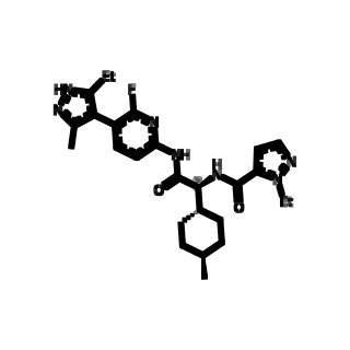 CCc1[nH]nc(C)c1-c1ccc(NC(=O)[C@@H](NC(=O)c2ccnn2CC)[C@H]2CC[C@H](C)CC2)nc1F